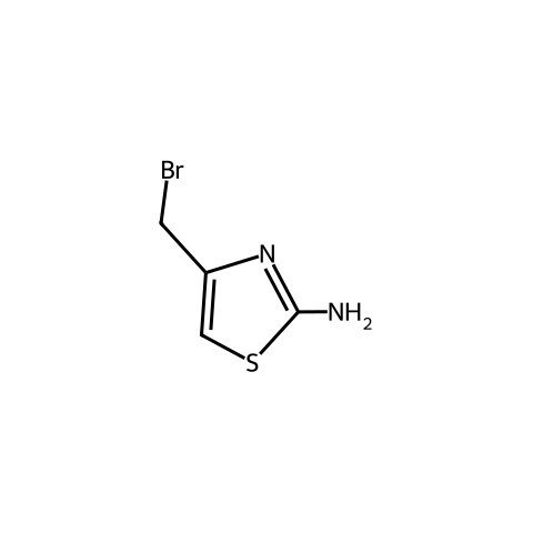 Nc1nc(CBr)cs1